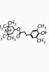 Cc1cc(CCC(=O)OC2CC(C)(C)NC(C)(C)C2)cc(C)c1O